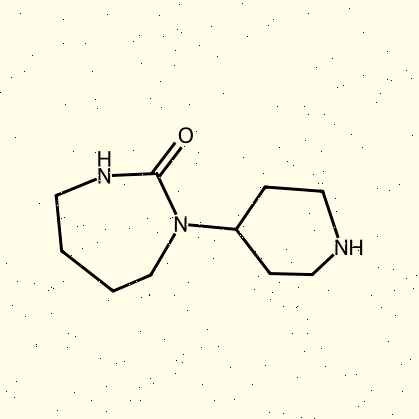 O=C1NCCCCN1C1CCNCC1